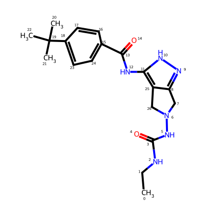 CCNC(=O)NN1Cc2n[nH]c(NC(=O)c3ccc(C(C)(C)C)cc3)c2C1